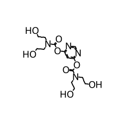 O=C(Oc1cc(OC(=O)N(CCO)CCO)ncn1)N(CCO)CCO